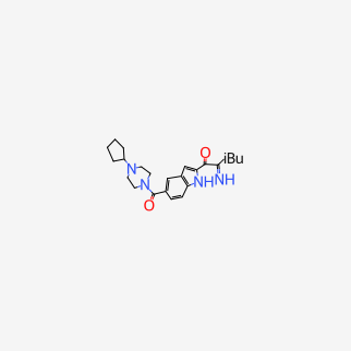 CCC(C)C(=N)C(=O)c1cc2cc(C(=O)N3CCN(C4CCCC4)CC3)ccc2[nH]1